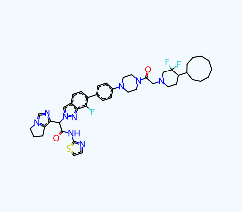 O=C(Nc1nccs1)C(c1ncn2c1CCC2)n1cc2ccc(-c3ccc(N4CCN(C(=O)CN5CCC(C6CCCCCCCC6)C(F)(F)C5)CC4)cc3)c(F)c2n1